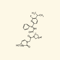 CC(C)c1ccc([C@@H](NC(=O)[C@@H]2C[C@@H](F)CN2C(=O)CN2C=CC(O)NC2=O)c2ccccc2)nc1F